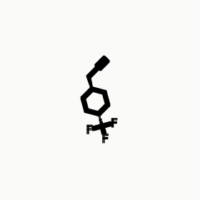 C#CC[C@H]1CC[C@H](C(F)(F)F)CC1